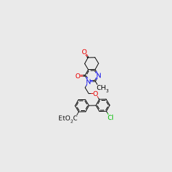 CCOC(=O)c1cccc(-c2cc(Cl)ccc2OCCn2c(C)nc3c(c2=O)CC(=O)CC3)c1